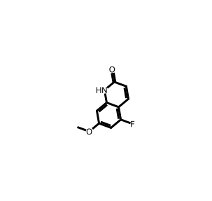 COc1cc(F)c2ccc(=O)[nH]c2c1